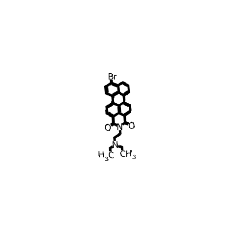 CCN(CC)CCN1C(=O)c2ccc3c4cccc5c(Br)ccc(c6ccc(c2c36)C1=O)c54